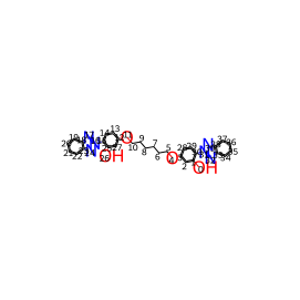 Oc1cc(OCCCCCCOc2ccc(-n3nc4ccccc4n3)c(O)c2)ccc1-n1nc2ccccc2n1